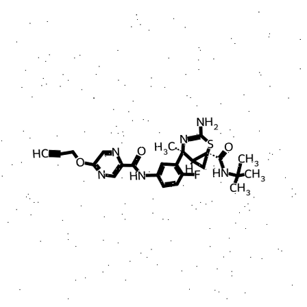 C#CCOc1cnc(C(=O)Nc2ccc(F)c([C@@]3(C)N=C(N)S[C@@]4(C(=O)NC(C)(C)C)C[C@H]43)c2)cn1